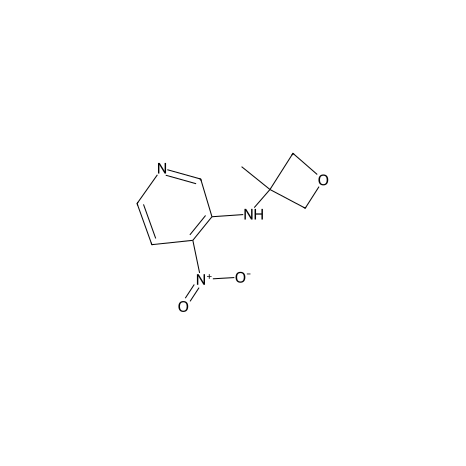 CC1(Nc2cnccc2[N+](=O)[O-])COC1